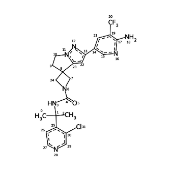 CC(C)(NC(=O)N1CC2(CCn3nc(-c4cnc(N)c(C(F)(F)F)c4)cc32)C1)c1ccncc1Cl